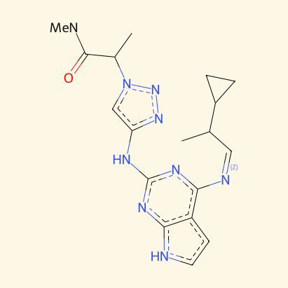 CNC(=O)C(C)n1cc(Nc2nc(/N=C\C(C)C3CC3)c3cc[nH]c3n2)nn1